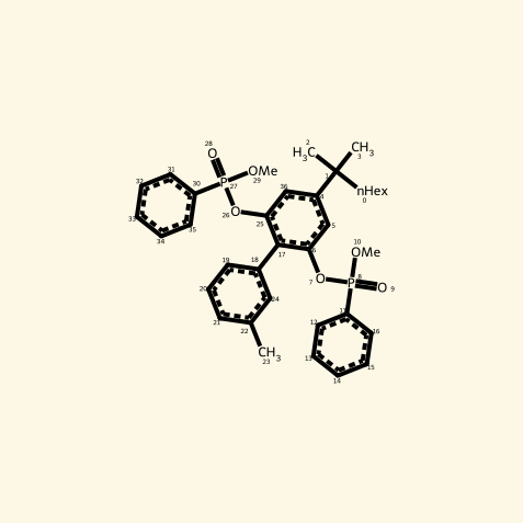 CCCCCCC(C)(C)c1cc(OP(=O)(OC)c2ccccc2)c(-c2cccc(C)c2)c(OP(=O)(OC)c2ccccc2)c1